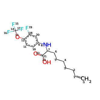 C=CCCCCCC(Nc1ccc(OC(F)(F)F)c(F)c1)C(=O)O